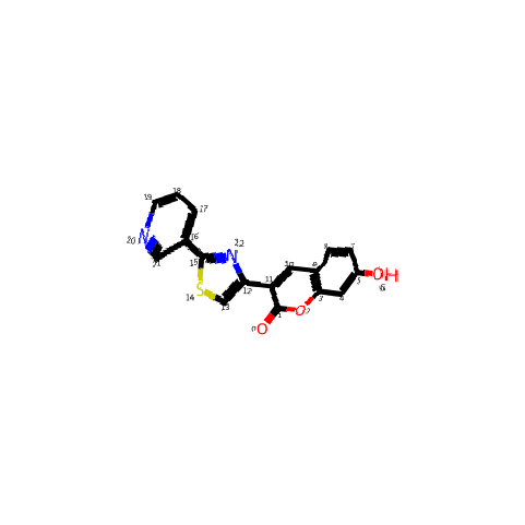 O=c1oc2cc(O)ccc2cc1-c1csc(-c2cccnc2)n1